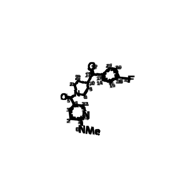 CNc1ccc(C(=O)N2CCC(C(=O)c3ccc(F)cc3)CC2)cn1